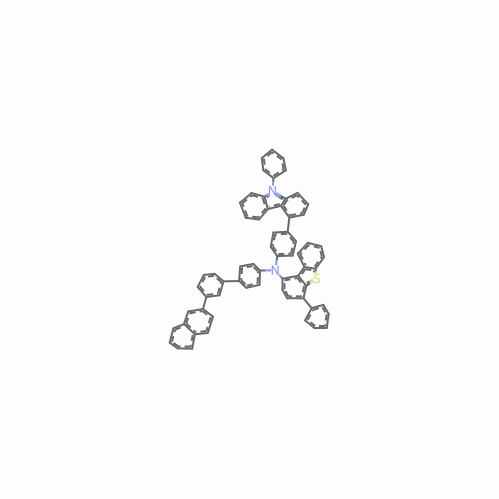 c1ccc(-c2ccc(N(c3ccc(-c4cccc(-c5ccc6ccccc6c5)c4)cc3)c3ccc(-c4cccc5c4c4ccccc4n5-c4ccccc4)cc3)c3c2sc2ccccc23)cc1